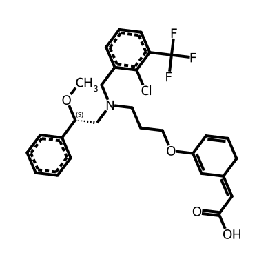 CO[C@H](CN(CCCOC1=CC(=CC(=O)O)CC=C1)Cc1cccc(C(F)(F)F)c1Cl)c1ccccc1